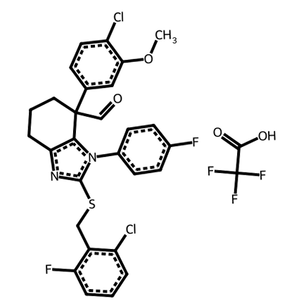 COc1cc(C2(C=O)CCCc3nc(SCc4c(F)cccc4Cl)n(-c4ccc(F)cc4)c32)ccc1Cl.O=C(O)C(F)(F)F